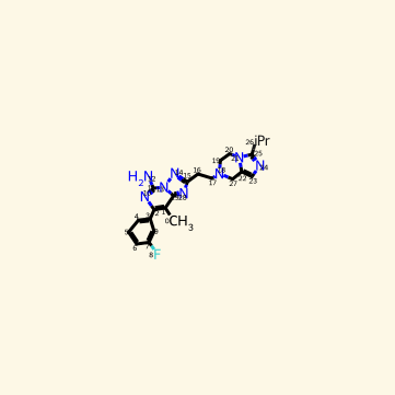 Cc1c(-c2cccc(F)c2)nc(N)n2nc(CCN3CCn4c(cnc4C(C)C)C3)nc12